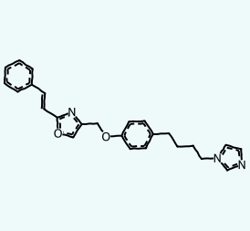 C(=Cc1nc(COc2ccc(CCCCn3ccnc3)cc2)co1)c1ccccc1